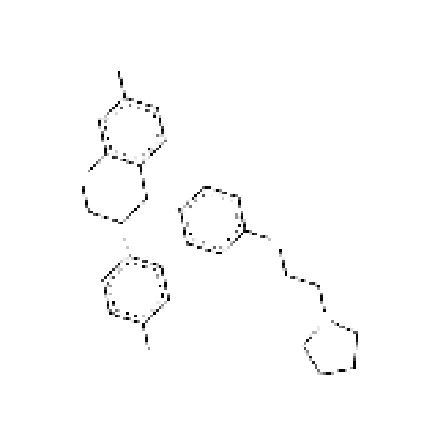 Oc1ccc2c(c1)OC[C@@H](c1ccc(Cl)cc1)[C@H]2c1ccc(OCCN2CCCC2)cc1